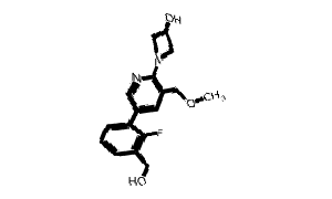 COCc1cc(-c2cccc(CO)c2F)cnc1N1CC(O)C1